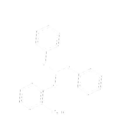 CCCCCCCCCc1ccccc1OP(Oc1ccccc1)Oc1ccccc1